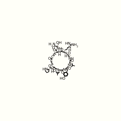 CC(C)C[C@@H]1NC(=O)[C@H](Cc2ccc(O)cc2)NC(=O)[C@H](CC(C)C)NC(=O)[C@@H](NC(=O)[C@@H]2CCCN2)CSCC(=O)CSC[C@@H](C(=O)N[C@@H](CO)C(N)=O)NC(=O)[C@H](CCCNC(=N)N)NC(=O)[C@H](C)NC1=O